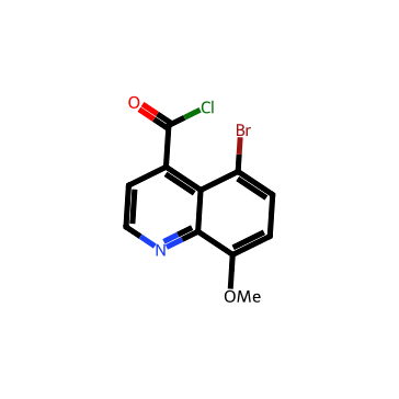 COc1ccc(Br)c2c(C(=O)Cl)ccnc12